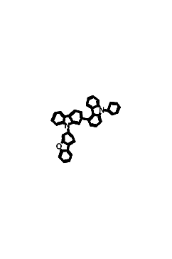 c1ccc(-n2c3ccccc3c3c(-c4ccc5c6ccccc6n(-c6ccc7c(c6)oc6ccccc67)c5c4)cccc32)cc1